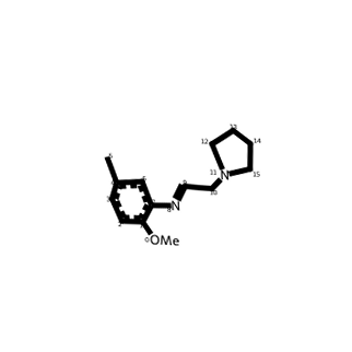 COc1ccc(C)cc1N=CCN1CCCC1